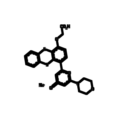 O=C(O)COc1ccc(-c2cc(=O)cc(N3CCOCC3)o2)c2c1Sc1ccccc1S2.[Na]